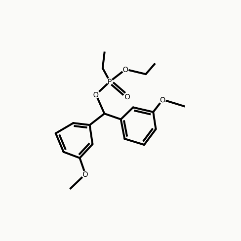 CCOP(=O)(CC)OC(c1cccc(OC)c1)c1cccc(OC)c1